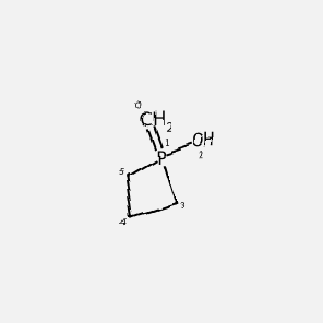 C=P1(O)CCC1